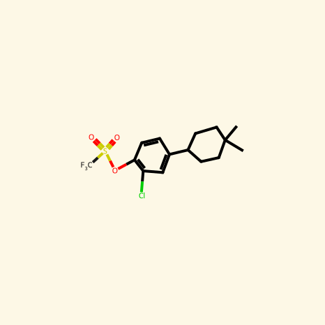 CC1(C)CCC(c2ccc(OS(=O)(=O)C(F)(F)F)c(Cl)c2)CC1